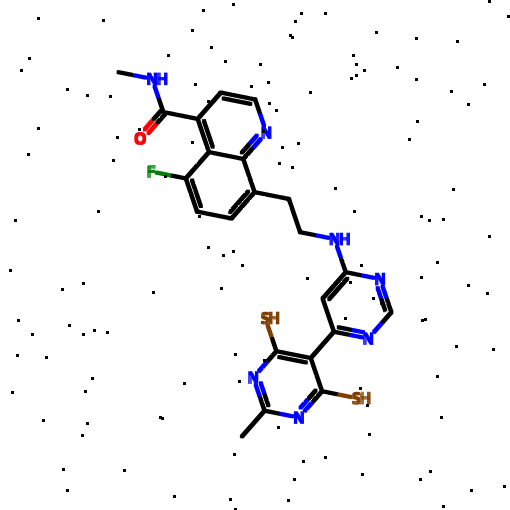 CNC(=O)c1ccnc2c(CCNc3cc(-c4c(S)nc(C)nc4S)ncn3)ccc(F)c12